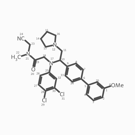 COc1cccc(-c2ccc(C(CN3CCCC3)N(CC(=O)N(C)CC#N)c3ccc(Cl)c(Cl)c3)cc2)c1